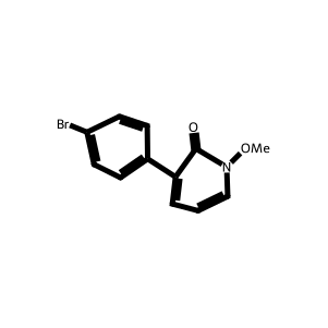 COn1cccc(-c2ccc(Br)cc2)c1=O